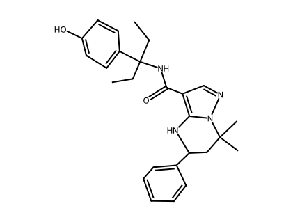 CCC(CC)(NC(=O)c1cnn2c1NC(c1ccccc1)CC2(C)C)c1ccc(O)cc1